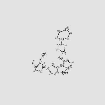 OCc1cc(-c2ccc3[nH]c4ncnc(N[C@H]5CC[C@H](N6CCOCC6)CC5)c4c3c2)ccc1F